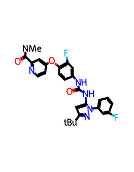 CNC(=O)c1cc(Oc2ccc(NC(=O)Nc3cc(C(C)(C)C)nn3-c3cccc(F)c3)cc2F)ccn1